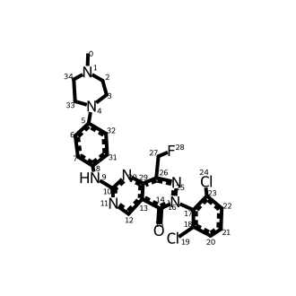 CN1CCN(c2ccc(Nc3ncc4c(=O)n(-c5c(Cl)cccc5Cl)nc(CF)c4n3)cc2)CC1